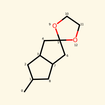 CC1CC2CC3(CC2C1)OCCO3